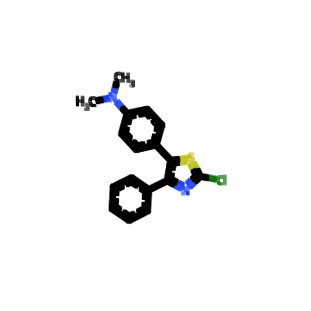 CN(C)c1ccc(-c2sc(Cl)nc2-c2ccccc2)cc1